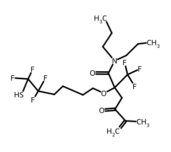 C=C(C)C(=O)CC(OCCCCC(F)(F)C(F)(F)S)(C(=O)N(CCC)CCC)C(F)(F)F